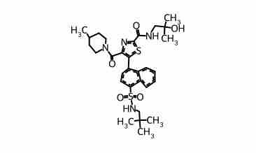 CC1CCN(C(=O)c2nc(C(=O)NCC(C)(C)O)sc2-c2ccc(S(=O)(=O)NCC(C)(C)C)c3ccccc23)CC1